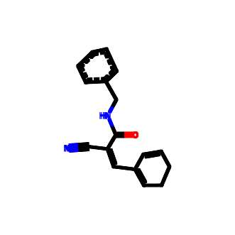 N#CC(=CC1=CCCC=C1)C(=O)NCc1ccccc1